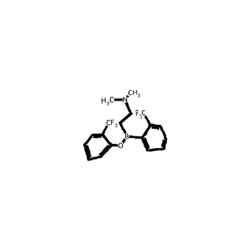 CN(C)CCB(Oc1ccccc1C(F)(F)F)c1ccccc1C(F)(F)F